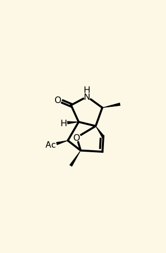 CC(=O)[C@H]1[C@@H]2C(=O)N[C@@H](C)[C@@]23C=C[C@@]1(C)O3